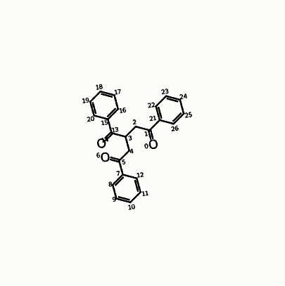 O=C(CC(CC(=O)c1ccccc1)C(=O)c1ccccc1)c1ccccc1